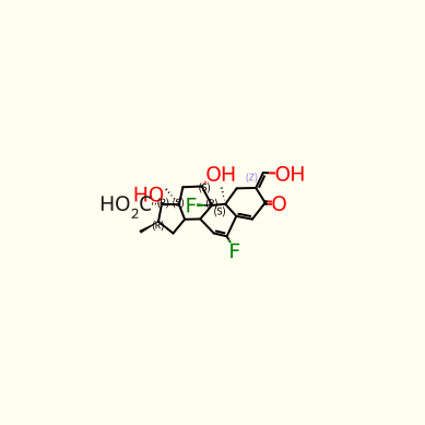 C[C@@H]1CC2C3C=C(F)C4=CC(=O)/C(=C\O)C[C@]4(C)[C@@]3(F)[C@@H](O)C[C@]2(C)[C@@]1(O)C(=O)O